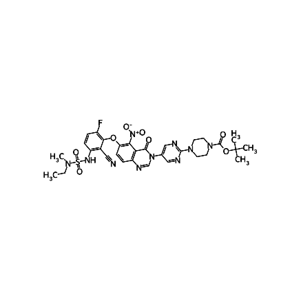 CCN(C)S(=O)(=O)Nc1ccc(F)c(Oc2ccc3ncn(-c4cnc(N5CCN(C(=O)OC(C)(C)C)CC5)nc4)c(=O)c3c2[N+](=O)[O-])c1C#N